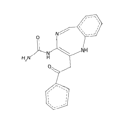 NC(=O)NC1=C(CC(=O)c2ccccc2)Nc2ccccc2C=N1